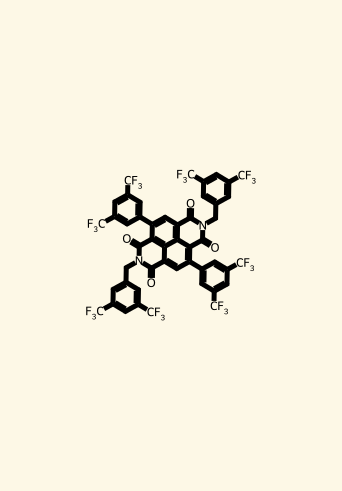 O=C1c2cc(-c3cc(C(F)(F)F)cc(C(F)(F)F)c3)c3c4c(cc(-c5cc(C(F)(F)F)cc(C(F)(F)F)c5)c(c24)C(=O)N1Cc1cc(C(F)(F)F)cc(C(F)(F)F)c1)C(=O)N(Cc1cc(C(F)(F)F)cc(C(F)(F)F)c1)C3=O